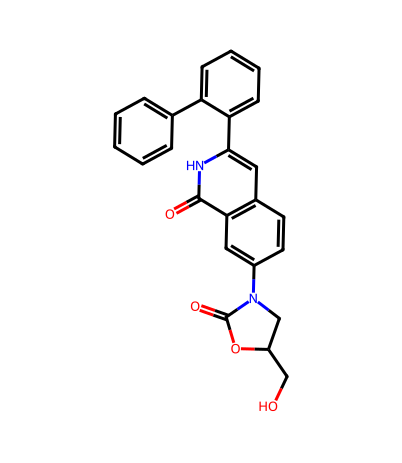 O=C1OC(CO)CN1c1ccc2cc(-c3ccccc3-c3ccccc3)[nH]c(=O)c2c1